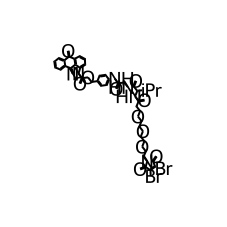 CC(C)C(NC(=O)CCOCCOCCOCCN1C(=O)C(Br)=C(Br)C1=O)C(=O)NCC(=O)Nc1ccc(COC(=O)n2nc3c4c(cccc42)C(=O)c2ccccc2-3)cc1